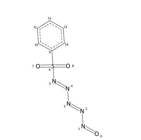 O=NN=NN=NS(=O)(=O)c1ccccc1